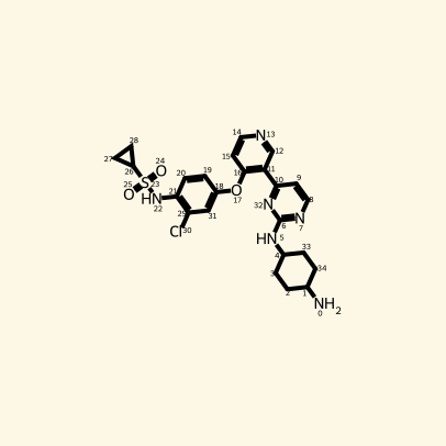 NC1CCC(Nc2nccc(-c3cnccc3Oc3ccc(NS(=O)(=O)C4CC4)c(Cl)c3)n2)CC1